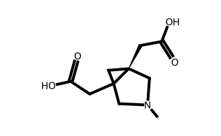 CN1CC2(CC(=O)O)C[C@]2(CC(=O)O)C1